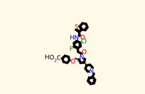 O=C(Nc1cc(F)c(CC(=O)N2C[C@@H](C3CCN(Cc4ccccc4)CC3)C[C@H]2CO[C@H]2CC[C@H](C(=O)O)CC2)cc1Cl)c1csc2c1C=CCC2